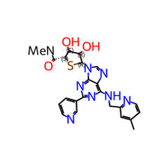 CNC(=O)[C@H]1S[C@@H](n2cnc3c(NCc4cc(C)ccn4)nc(-c4cccnc4)nc32)[C@H](O)[C@@H]1O